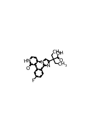 CCC(CC)(C(=O)O)c1cn2c3cc[nH]c(=O)c3c3cc(F)ccc3c2n1